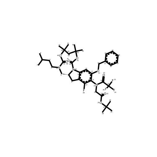 CC(C)CCN(C[C@H]1Cc2c(cc(OCc3ccccc3)c(N(CC(=O)OC(C)(C)C)C(=O)C(F)(F)F)c2F)N1C(=O)OC(C)(C)C)C(=O)OC(C)(C)C